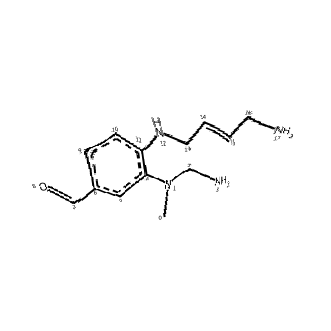 CN(CN)c1cc(C=O)ccc1NC/C=C/CN